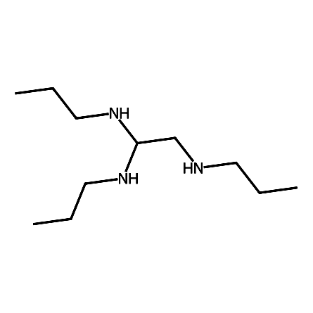 CCCNCC(NCCC)NCCC